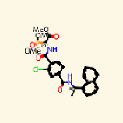 COC(=O)[C@H](NC(=O)c1ccc(C(=O)N[C@H](C)c2cccc3ccccc23)cc1Cl)P(=O)(OC)OC